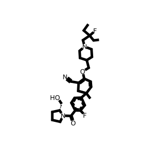 CCC(F)(CC)CN1CCC(COC2=C(C#N)CC(C)(c3ccc(C(=O)N4CCC[C@@H]4CO)c(F)c3)C=C2)CC1